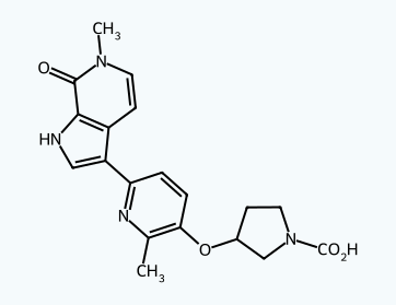 Cc1nc(-c2c[nH]c3c(=O)n(C)ccc23)ccc1OC1CCN(C(=O)O)C1